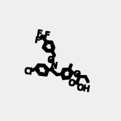 CCC(Oc1ccc(CC(=NOCc2ccc(C(F)(F)F)cc2)c2ccc(Cl)cc2)cc1C)C(=O)O